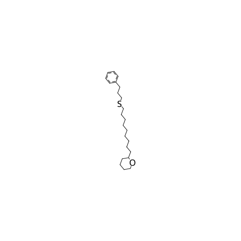 c1ccc(CCCSCCCCCCCCCC2CCCCO2)cc1